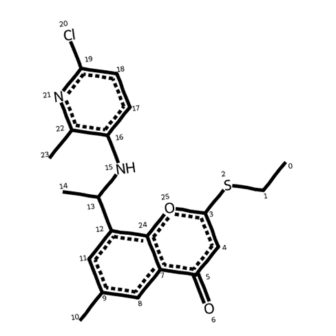 CCSc1cc(=O)c2cc(C)cc(C(C)Nc3ccc(Cl)nc3C)c2o1